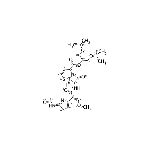 CON=C(C(=O)NC1C(=O)N2C(C(=O)OC(COC(C)C)COC(C)C)C=CS[C@@H]12)c1csc(NC=O)n1